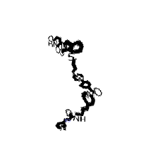 O=C(/C=C/c1cccnc1)NCCCCC1CCN(C(=O)c2ccc(N3CCN(CCCCSc4cccc5c4C(=O)N(C4CCC(=O)NC4=O)C5)CC3)cc2)CC1